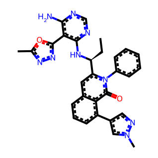 CC[C@H](Nc1ncnc(N)c1-c1nnc(C)o1)c1cc2cccc(-c3cnn(C)c3)c2c(=O)n1-c1ccccc1